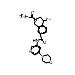 CC1CN(C(=O)OC(C)(C)C)Cc2cc(C(=O)Nc3cncc(N4CCOCC4)c3)ccc21